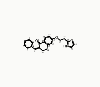 O=C1C(=Cc2ccccc2)CCc2cc(OCCc3ncc[nH]3)ccc21